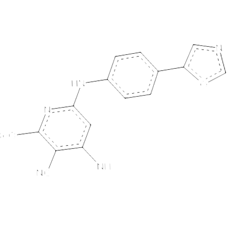 COc1nc(Nc2ccc(-c3cnco3)cc2)cc(N)c1C#N